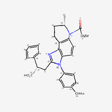 COC(=O)N1c2ccc3c(nc(C[C@H](C(=O)O)c4ccccc4)n3-c3ccc(OC)cc3)c2CC[C@@H]1C